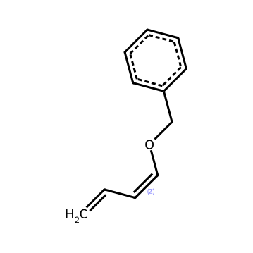 C=C/C=C\OCc1ccccc1